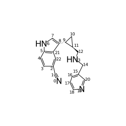 N#Cc1ccc2[nH]cc([C@@H]3C[C@H]3CNCc3cccnc3)c2c1